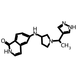 CC(c1cn[nH]c1)N1CCC(Nc2ccc3c(=O)[nH]ccc3c2)C1